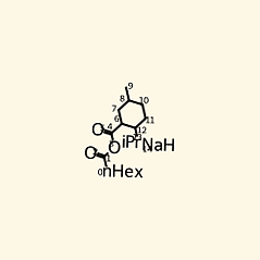 CCCCCCC(=O)OC(=O)C1CC(C)CCC1C(C)C.[NaH]